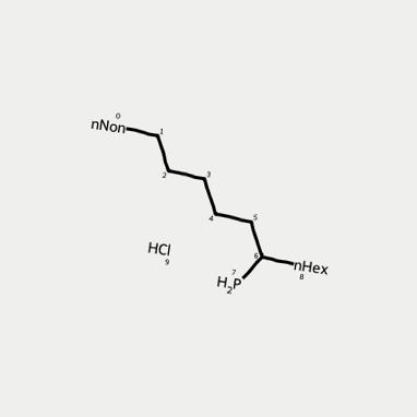 CCCCCCCCCCCCCC[C](P)CCCCCC.Cl